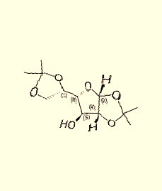 CC1(C)O[C@H]2O[C@@H]([C@@H]3COC(C)(C)O3)[C@H](O)[C@H]2O1